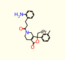 Cc1cccc(C2(CC(C)C)OC(=O)C3=C2CN(C(=O)CCc2ccccc2N)CC3)c1